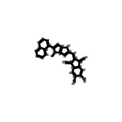 Cn1c(-c2cccc3ccccc23)cc2sc(C=C3C(=O)c4cc(Cl)c(Cl)cc4C3=O)cc21